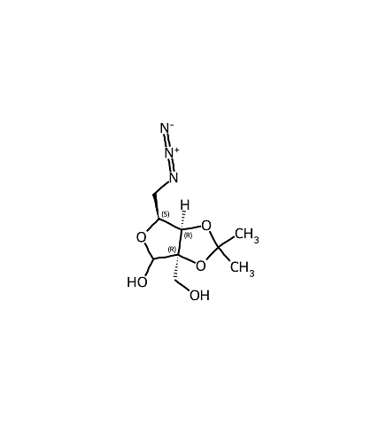 CC1(C)O[C@@H]2[C@H](CN=[N+]=[N-])OC(O)[C@]2(CO)O1